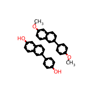 COc1ccc(-c2ccc3cc(OC)ccc3c2)cc1.Oc1ccc(-c2ccc3cc(O)ccc3c2)cc1